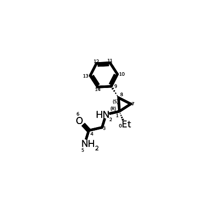 CC[C@@]1(NCC(N)=O)C[C@H]1c1ccccc1